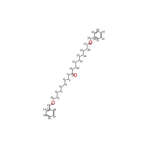 O=C(CCCCCCCCCOCc1ccccc1)CCCCCCCCCOCc1ccccc1